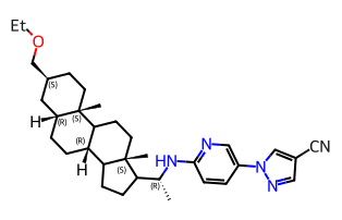 CCOC[C@H]1CC[C@]2(C)C3CC[C@@]4(C)C(CCC4[C@@H](C)Nc4ccc(-n5cc(C#N)cn5)cn4)[C@@H]3CC[C@@H]2C1